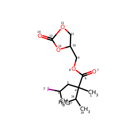 CC(I)CC(C)(C(=O)OCC1COC(=O)O1)C(C)C